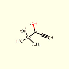 C#CC(O)[Si](C)(C)C(C)(C)C